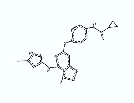 Cc1cc(Nc2nc(Sc3ccc(NC(=O)C4CC4)cc3)cc3ncc(I)n23)n[nH]1